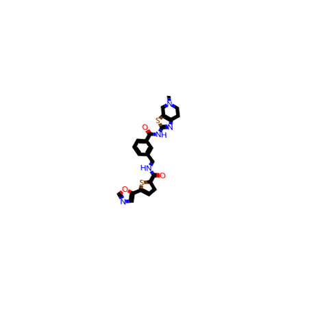 CN1CCc2nc(NC(=O)c3cccc(CNC(=O)C4CC=C(c5cnco5)S4)c3)sc2C1